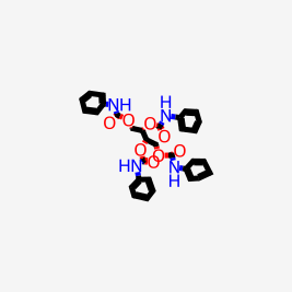 O=C(Nc1ccccc1)OCC(OC(=O)Nc1ccccc1)C(COC(=O)Nc1ccccc1)OC(=O)Nc1ccccc1